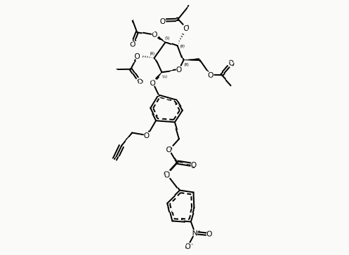 C#CCOc1cc(O[C@@H]2O[C@H](COC(C)=O)[C@@H](OC(C)=O)[C@H](OC(C)=O)[C@H]2OC(C)=O)ccc1COC(=O)Oc1ccc([N+](=O)[O-])cc1